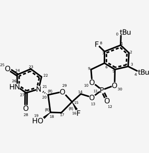 CC(C)(C)c1cc(C(C)(C)C)c2c(c1F)COP(=O)(OC[C@]1(F)C[C@@H](O)[C@H](n3ccc(=O)[nH]c3=O)O1)O2